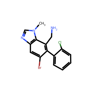 Cn1cnc2cc(Br)c(-c3ccccc3Cl)c(CN)c21